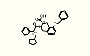 O=C(O)[C@H]1Cc2c(cccc2OCc2ccccc2)CN1C(=O)[C@@H](OC1CCCC1)c1ccccc1